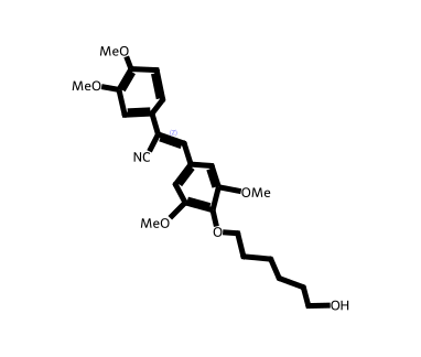 COc1ccc(/C(C#N)=C/c2cc(OC)c(OCCCCCCO)c(OC)c2)cc1OC